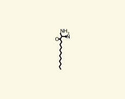 CCCCCCCCCCCC(=O)C(C#N)CN